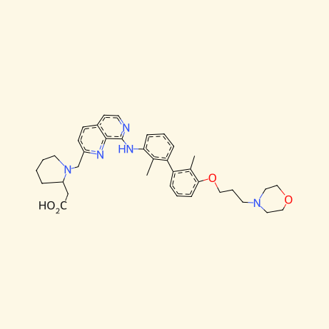 Cc1c(Nc2nccc3ccc(CN4CCCCC4CC(=O)O)nc23)cccc1-c1cccc(OCCCN2CCOCC2)c1C